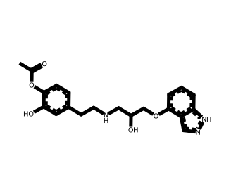 CC(=O)Oc1ccc(CCNCC(O)COc2cccc3[nH]ncc23)cc1O